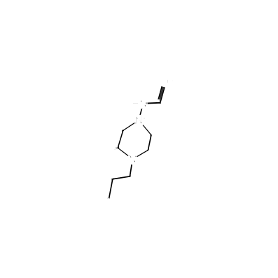 CCCN1CCN(N[C]=O)CC1